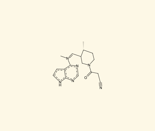 C[C@@H]1CCN(C(=O)CC#N)CC1/C=[N+](/C)c1ncnc2[nH]ccc12